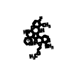 COCCOc1c(-c2[nH]c3c(c2Nc2cccc(F)c2C)C(=O)NC[C@@]32CCCNC2)ccnc1N